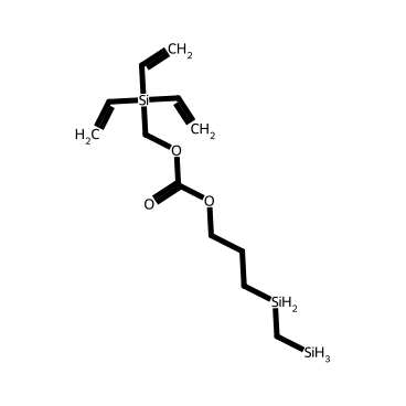 C=C[Si](C=C)(C=C)COC(=O)OCCC[SiH2]C[SiH3]